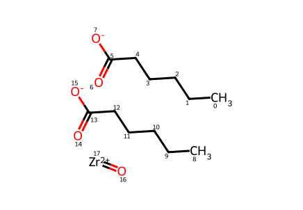 CCCCCC(=O)[O-].CCCCCC(=O)[O-].[O]=[Zr+2]